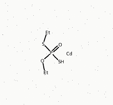 CCOP(=O)(S)SCC.[Cd]